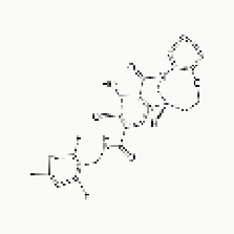 O=C(NCc1c(F)cc(F)cc1F)c1cn2c(c(O)c1=O)C(=O)N1C[C@@H]2CCCc2ccccc21